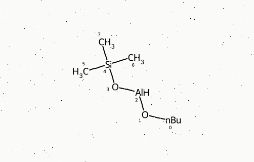 CCCC[O][AlH][O][Si](C)(C)C